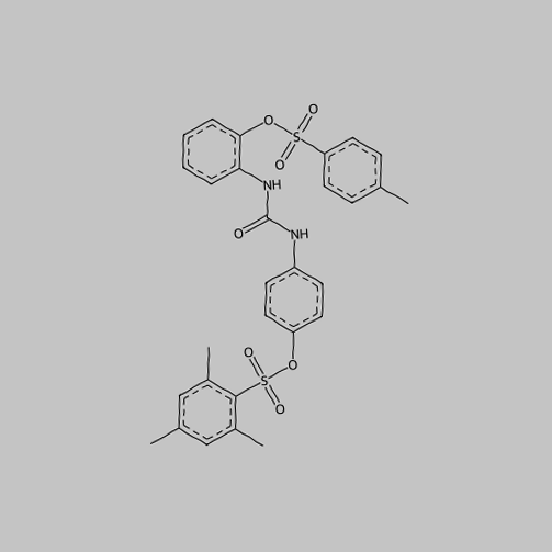 Cc1ccc(S(=O)(=O)Oc2ccccc2NC(=O)Nc2ccc(OS(=O)(=O)c3c(C)cc(C)cc3C)cc2)cc1